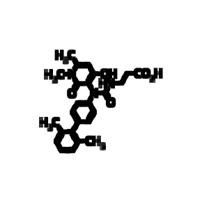 Cc1cccc(C)c1-c1ccc(N(C(=O)NCCC(=O)O)c2c(O)cc(C)n(C)c2=O)cc1